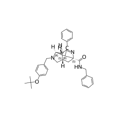 CC(C)(C)Oc1ccc(CN2C[C@H]3C[C@]4(C(=O)NCc5ccccc5)N=C[C@H]3[C@H]2[C@H]4Cc2ccccc2)cc1